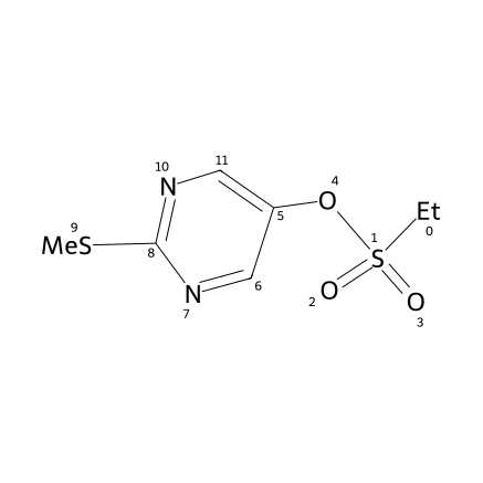 CCS(=O)(=O)Oc1cnc(SC)nc1